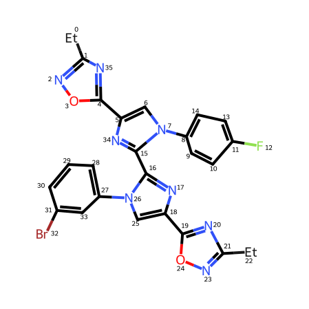 CCc1noc(-c2cn(-c3ccc(F)cc3)c(-c3nc(-c4nc(CC)no4)cn3-c3cccc(Br)c3)n2)n1